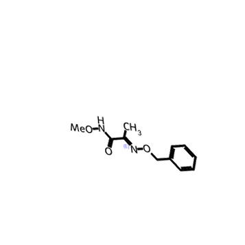 CONC(=O)/C(C)=N/OCc1ccccc1